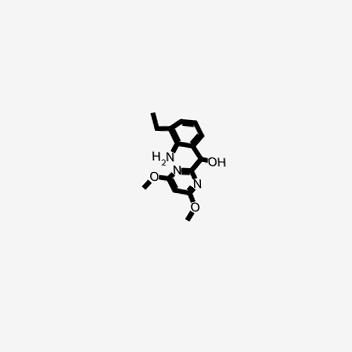 CCc1cccc(C(O)c2nc(OC)cc(OC)n2)c1N